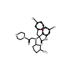 CC1CCCC(N(CC(=O)N2CCOCC2)C2(Cc3cccc(Cl)c3)C(=O)Nc3cc(Cl)ccc32)C1